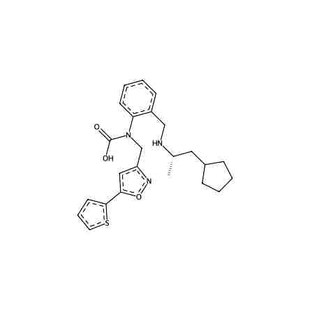 C[C@@H](CC1CCCC1)NCc1ccccc1N(Cc1cc(-c2cccs2)on1)C(=O)O